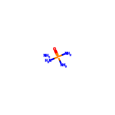 N.NP(N)(N)=O